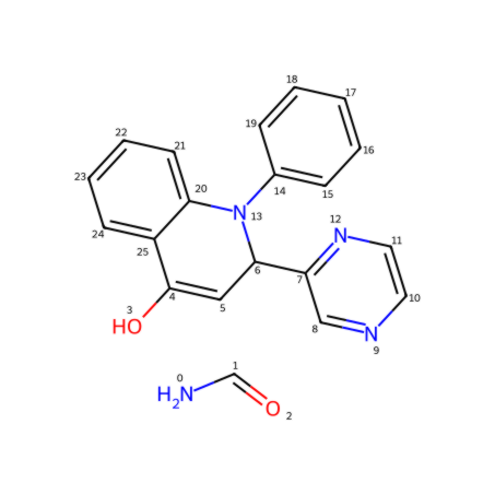 NC=O.OC1=CC(c2cnccn2)N(c2ccccc2)c2ccccc21